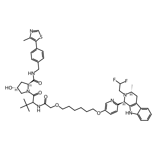 Cc1ncsc1-c1ccc(CNC(=O)[C@@H]2C[C@@H](O)CN2C(=O)C(NC(=O)COCCCCCCOc2ccc([C@@H]3c4[nH]c5ccccc5c4C[C@@H](C)N3CC(F)F)nc2)C(C)(C)C)cc1